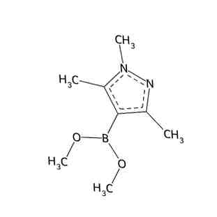 COB(OC)c1c(C)nn(C)c1C